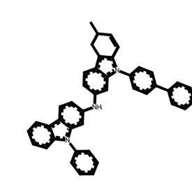 CC1C=Cc2c(c3ccc(Nc4ccc5c6ccccc6n(-c6ccccc6)c5c4)cc3n2-c2ccc(-c3ccccc3)cc2)C1